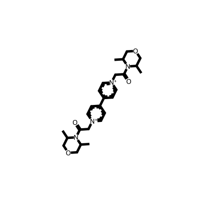 CC1COCC(C)N1C(=O)C[n+]1ccc(-c2cc[n+](CC(=O)N3C(C)COCC3C)cc2)cc1